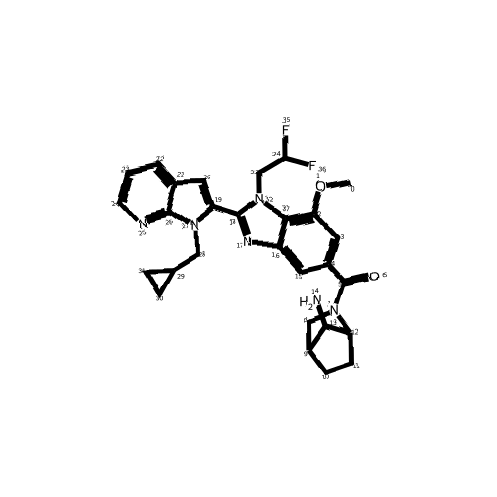 COc1cc(C(=O)N2CC3CCC2C3N)cc2nc(-c3cc4cccnc4n3CC3CC3)n(CC(F)F)c12